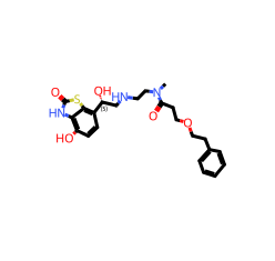 CN(CCNC[C@@H](O)c1ccc(O)c2[nH]c(=O)sc12)C(=O)CCOCCc1ccccc1